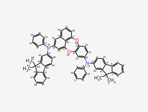 CC1(C)c2ccccc2-c2ccc(N(c3ccccc3)c3ccc4c(c3)Oc3cc(N(c5ccccc5)c5ccc6c(c5)C(C)(C)c5ccccc5-6)cc5cccc(c35)O4)cc21